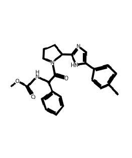 COC(=O)NC(C(=O)N1CCCC1c1ncc(-c2ccc(C)cc2)[nH]1)c1ccccc1